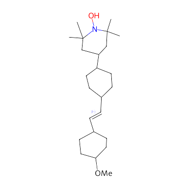 COC1CCC(/C=C/C2CCC(C3CC(C)(C)N(O)C(C)(C)C3)CC2)CC1